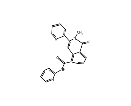 Cn1c(-c2ccccn2)nc2c(C(=O)Nc3ccccn3)cccc2c1=O